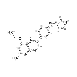 CCOc1nc(N)nc2ccc(-c3ccc(Nc4nncs4)cc3)nc12